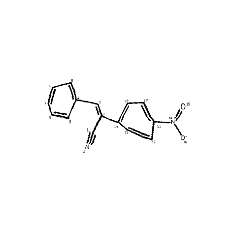 N#CC(=Cc1ccccc1)c1ccc([N+](=O)[O-])cc1